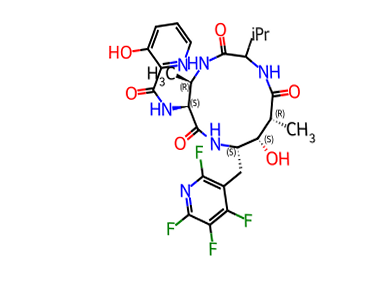 CC(C)C1NC(=O)[C@H](C)[C@H](O)[C@H](Cc2c(F)nc(F)c(F)c2F)NC(=O)[C@@H](NC(=O)c2ncccc2O)[C@@H](C)NC1=O